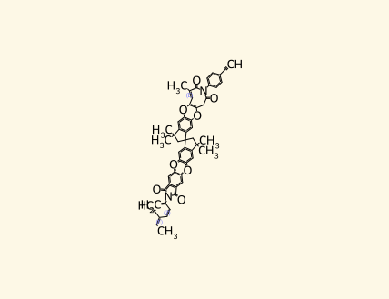 C#CC(/C=C\C(=C)n1c(=O)c2cc3oc4cc5c(cc4oc3cc2c1=O)C1(CC(C)(C)c2cc3c(cc21)OC1=C(/C=C(\C)C(=O)N(c2ccc(C#C)cc2)C(=O)C1)O3)CC5(C)C)=C/C